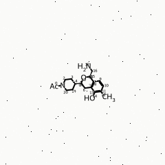 CC(=O)N1CCC([C@@H]2Cc3c(ccc(C)c3O)[C@H](CN)O2)CC1